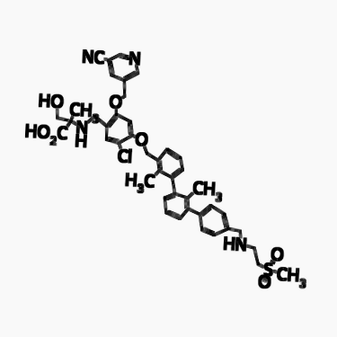 Cc1c(COc2cc(OCc3cncc(C#N)c3)c(CNC(C)(CO)C(=O)O)cc2Cl)cccc1-c1cccc(-c2ccc(CNCCS(C)(=O)=O)cc2)c1C